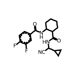 N#CC(NC(=O)C1CCCCC1NC(=O)c1ccc(F)c(F)c1)C1CC1